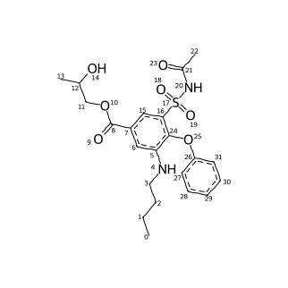 CCCCNc1cc(C(=O)OCC(C)O)cc(S(=O)(=O)NC(C)=O)c1Oc1ccccc1